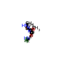 COc1cc(-c2csc(NC(C)C)n2)nc2cc(OCCNCC(F)(F)F)ccc12